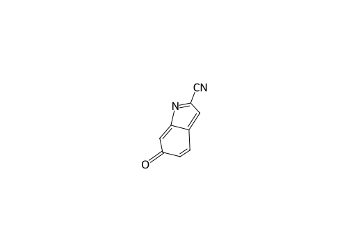 N#CC1=NC2=CC(=O)C=CC2=C1